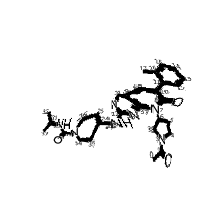 CC(=O)N1CC[C@H](n2c(=O)c(-c3ccccc3C)cc3cnc(NC4CCN(C(=O)NC(C)C)CC4)nc32)C1